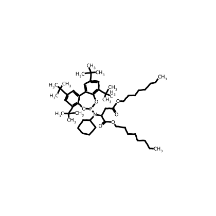 CCCCCCCCOC(=O)CC(C(=O)OCCCCCCCC)N(C1CCCCC1)p1oc2c(C(C)(C)C)cc(C(C)(C)C)cc2c2cc(C(C)(C)C)cc(C(C)(C)C)c2o1